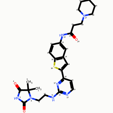 CC1(C)C(=O)NC(=O)N1CCNc1nccc(-c2cc3cc(NC(=O)CCN4CCCCC4)ccc3s2)n1